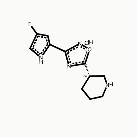 Cl.Fc1c[nH]c(-c2noc([C@H]3CCCNC3)n2)c1